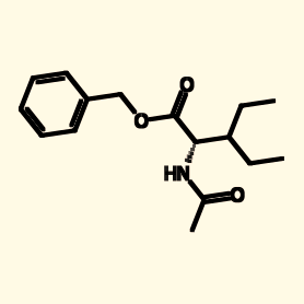 CCC(CC)[C@H](NC(C)=O)C(=O)OCc1ccccc1